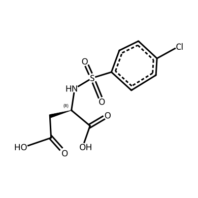 O=C(O)C[C@@H](NS(=O)(=O)c1ccc(Cl)cc1)C(=O)O